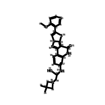 COc1ccncc1-c1cn2nc3c4ncc(NC(O)CN5CC(C)(C)C5)cc4[nH]c(=O)c3c2s1